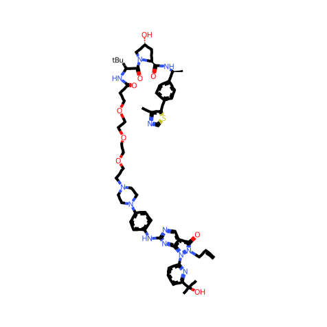 C=CCn1c(=O)c2cnc(Nc3ccc(N4CCN(CCOCCOCCOCCC(=O)NC(C(=O)N5C[C@H](O)C[C@H]5C(=O)N[C@@H](C)c5ccc(-c6scnc6C)cc5)C(C)(C)C)CC4)cc3)nc2n1-c1cccc(C(C)(C)O)n1